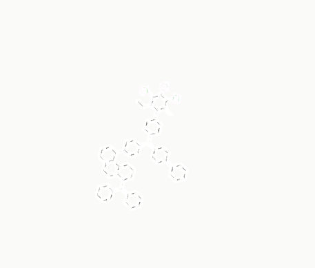 C=Cc1c(Cl)c(Cl)c(Cl)c(C)c1-c1ccc(C(c2ccc(-c3ccccc3)cc2)c2ccc(-c3cccc4ccc5c(C(c6ccccc6)c6ccccc6)cccc5c34)cc2)cc1